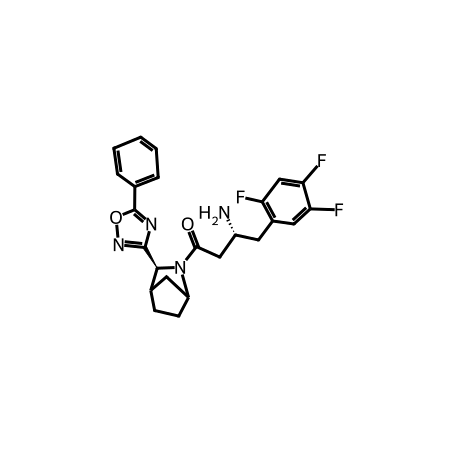 N[C@@H](CC(=O)N1C2CCC(C2)[C@H]1c1noc(-c2ccccc2)n1)Cc1cc(F)c(F)cc1F